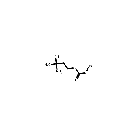 CC(C)OC(=O)OCCC(C)(N)S